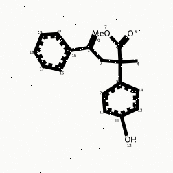 C=C(CC(C)(C(=O)OC)c1ccc(O)cc1)c1ccccc1